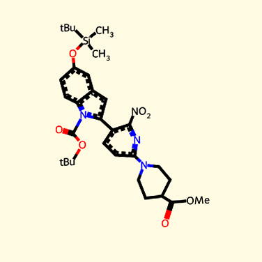 COC(=O)C1CCN(c2ccc(-c3cc4cc(O[Si](C)(C)C(C)(C)C)ccc4n3C(=O)OC(C)(C)C)c([N+](=O)[O-])n2)CC1